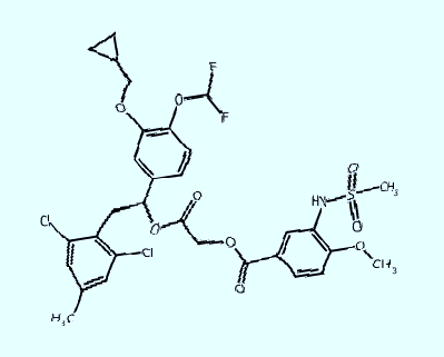 COc1ccc(C(=O)OCC(=O)O[C@@H](Cc2c(Cl)cc(C)cc2Cl)c2ccc(OC(F)F)c(OCC3CC3)c2)cc1NS(C)(=O)=O